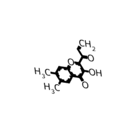 C=CC(=O)c1oc2cc(C)c(C)cc2c(=O)c1O